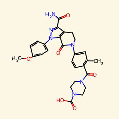 COc1ccc(-n2nc(C(N)=O)c3c2C(=O)N(c2ccc(C(=O)N4CCN(C(=O)O)CC4)c(C)c2)CC3)cc1